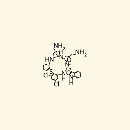 CN1C(=O)[C@H](CCCCN)NC(=O)[C@H](CCCN)NCc2ccccc2Sc2c(Cl)cc(Cl)cc2CNC(=O)[C@@H]1Cc1c[nH]c2ccccc12